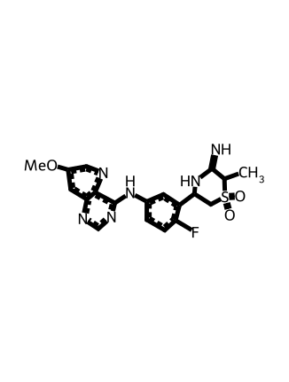 COc1cnc2c(Nc3ccc(F)c(C4CS(=O)(=O)C(C)C(=N)N4)c3)ncnc2c1